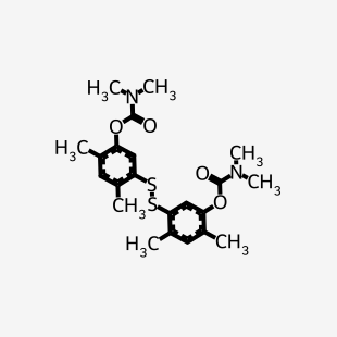 Cc1cc(C)c(SSc2cc(OC(=O)N(C)C)c(C)cc2C)cc1OC(=O)N(C)C